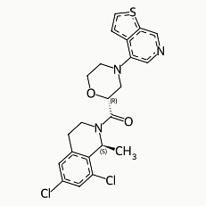 C[C@H]1c2c(Cl)cc(Cl)cc2CCN1C(=O)[C@H]1CN(c2cncc3sccc23)CCO1